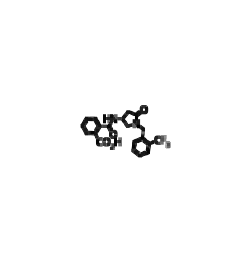 O=C(O)c1ccccc1C(=O)NC1CC(=O)N(Cc2ccccc2C(F)(F)F)C1